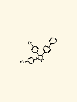 CCc1ccc(-c2c(-c3ccc(-c4ccccc4)cc3)nnn2-c2ccc(C(C)(C)C)cc2)cc1